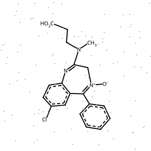 CN(CCC(=O)O)C1=Nc2ccc(Cl)cc2C(c2ccccc2)=[N+]([O-])C1